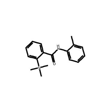 Cc1ccccc1NC(=O)c1ccccc1[Si](C)(C)C